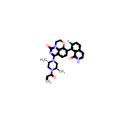 C=CC(=O)N1C[C@H](C)N(c2nc(=O)n3c4c(c(-c5c(F)ccc6cc[nH]c(=O)c56)ccc24)OCC3)C[C@H]1C